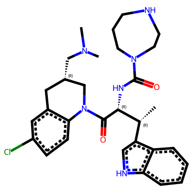 C[C@H](c1c[nH]c2ccccc12)[C@@H](NC(=O)N1CCCNCC1)C(=O)N1C[C@@H](CN(C)C)Cc2cc(Cl)ccc21